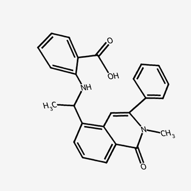 CC(Nc1ccccc1C(=O)O)c1cccc2c(=O)n(C)c(-c3ccccc3)cc12